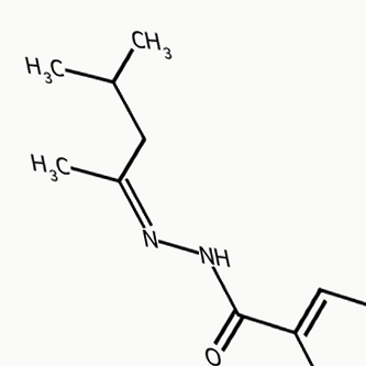 C/C(CC(C)C)=N/NC(=O)c1ccccc1